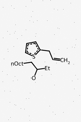 C=CCc1cccs1.CCCCCCCCCC([O])CC